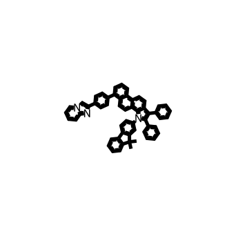 CC1(C)c2ccccc2-c2ccc(-n3c(-c4ccccc4)c(-c4ccccc4)c4ccc5c6cccc(-c7ccc(-c8cn9ccccc9n8)cc7)c6ccc5c43)cc21